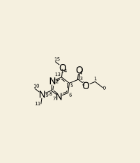 CCOC(=O)c1cnc(N(C)C)nc1OC